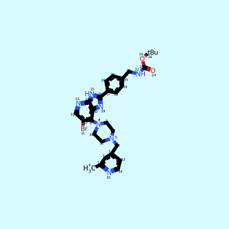 Cc1cc(CN2CCN(c3c(Br)cnc4[nH]c(-c5ccc(CNC(=O)OC(C)(C)C)cc5)nc34)CC2)ccn1